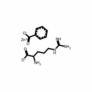 N=C(N)NCCCC(N)C(=O)[O-].O=C([O-])c1ccccc1.[Zn+2]